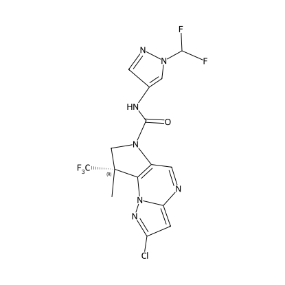 C[C@@]1(C(F)(F)F)CN(C(=O)Nc2cnn(C(F)F)c2)c2cnc3cc(Cl)nn3c21